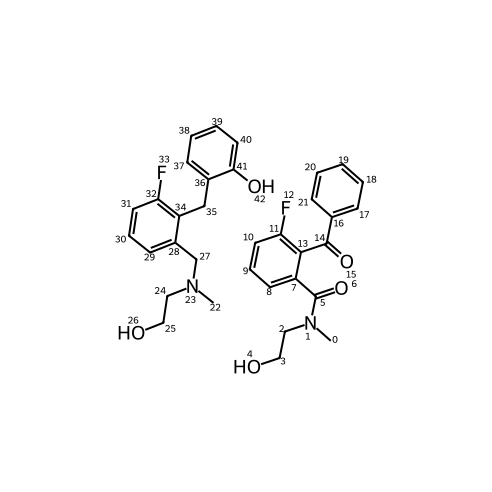 CN(CCO)C(=O)c1cccc(F)c1C(=O)c1ccccc1.CN(CCO)Cc1cccc(F)c1Cc1ccccc1O